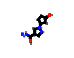 NC(=O)c1cnn(C2CCC(=O)C2)c1